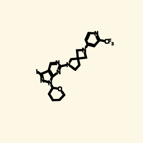 FC(F)(F)c1cc(N2CC3(CCN(c4ncc5c(I)nn(C6CCCCO6)c5n4)C3)C2)ccn1